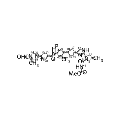 COC(=O)NCC(=O)N1CC(C)CC1c1nc(-c2ccc(-c3cc(F)c(NC(=O)c4ccc(N5CCN(C=O)C(C)C5)nc4)cc3C(F)(F)F)cc2)c[nH]1